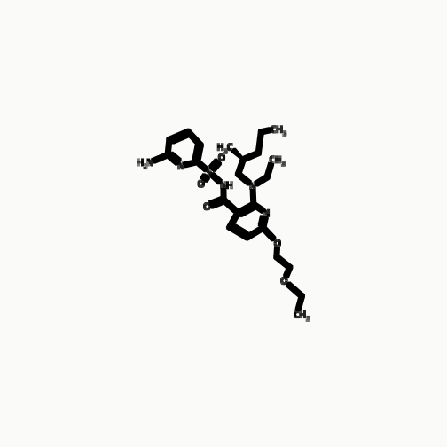 CCC[C@H](C)CN(CC)c1nc(OCCOCC)ccc1C(=O)NS(=O)(=O)c1cccc(N)n1